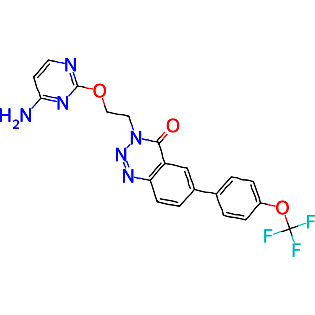 Nc1ccnc(OCCn2nnc3ccc(-c4ccc(OC(F)(F)F)cc4)cc3c2=O)n1